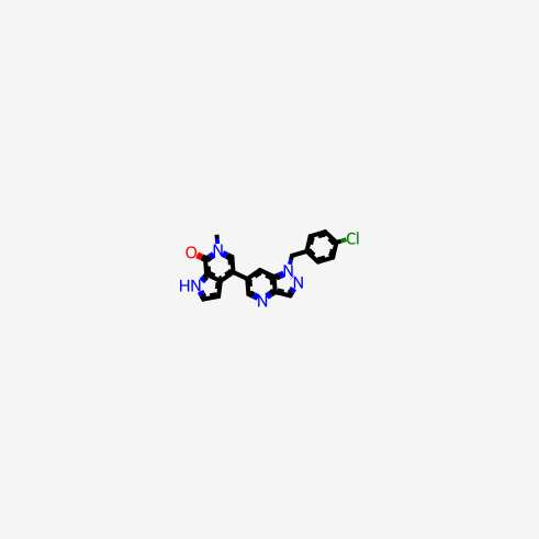 Cn1cc(-c2cnc3cnn(Cc4ccc(Cl)cc4)c3c2)c2cc[nH]c2c1=O